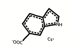 O=C([O-])c1ccc2cc[nH]c2c1.[Cs+]